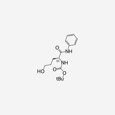 CC(C)(C)OC(=O)N[C@@H](CCCO)C(=O)Nc1ccccc1